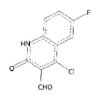 O=Cc1c(Cl)c2cc(F)ccc2[nH]c1=O